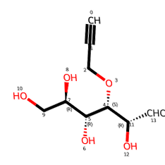 C#CCO[C@@H]([C@H](O)[C@H](O)CO)[C@@H](O)C=O